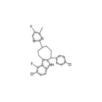 Cc1nc(C2CCc3c([nH]c4ccc(Cl)c(F)c34)C(c3ccc(Cl)cc3)CC2)ncc1F